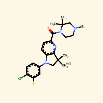 CCN1CCN(C(=O)c2ccc3c(n2)C(C)(C)CN3c2ccc(Cl)c(F)c2)C(C)(C)C1.Cl